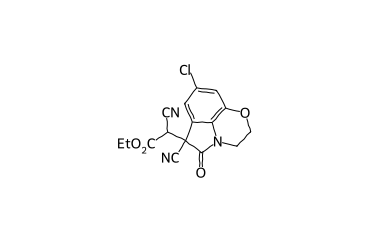 CCOC(=O)C(C#N)C1(C#N)C(=O)N2CCOc3cc(Cl)cc1c32